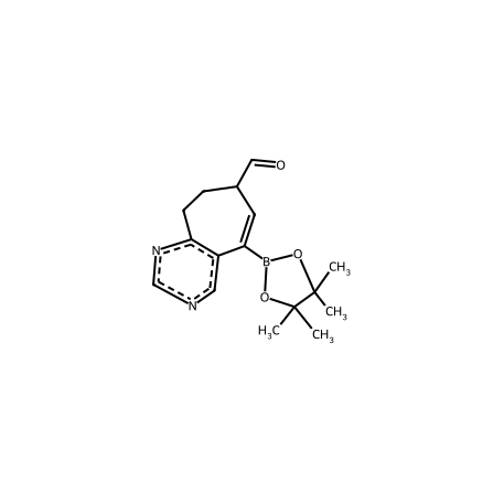 CC1(C)OB(C2=CC(C=O)CCc3ncncc32)OC1(C)C